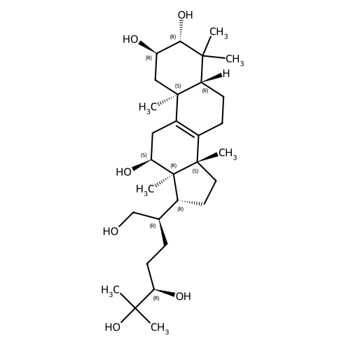 CC(C)(O)[C@H](O)CC[C@@H](CO)[C@H]1CC[C@@]2(C)C3=C(C[C@H](O)[C@]12C)[C@@]1(C)C[C@@H](O)[C@H](O)C(C)(C)[C@@H]1CC3